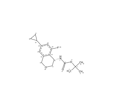 CC(C)(C)OC(=O)N[C@@H]1COCc2cc(C3CC3)cc(F)c21